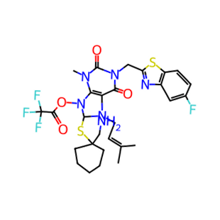 CC(C)=CCN1c2c(n(C)c(=O)n(Cc3nc4cc(F)ccc4s3)c2=O)N(OC(=O)C(F)(F)F)C1SC1(CN)CCCCC1